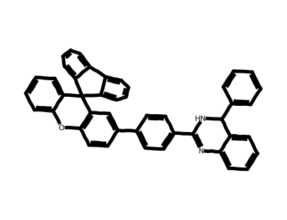 c1ccc(C2NC(c3ccc(-c4ccc5c(c4)C4(c6ccccc6O5)c5ccccc5-c5ccccc54)cc3)=Nc3ccccc32)cc1